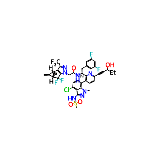 C=C1[C@@H]2c3c(C(F)(F)F)nn(CC(=O)N[C@@H](Cc4cc(F)cc(F)c4)c4nc(C#CC(O)CC)ccc4-c4ccc(Cl)c5c(NS(C)(=O)=O)nn(C)c45)c3C(F)(F)[C@H]12